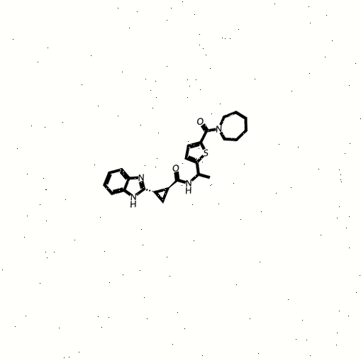 CC(NC(=O)[C@H]1C[C@@H]1c1nc2ccccc2[nH]1)c1ccc(C(=O)N2CCCCCC2)s1